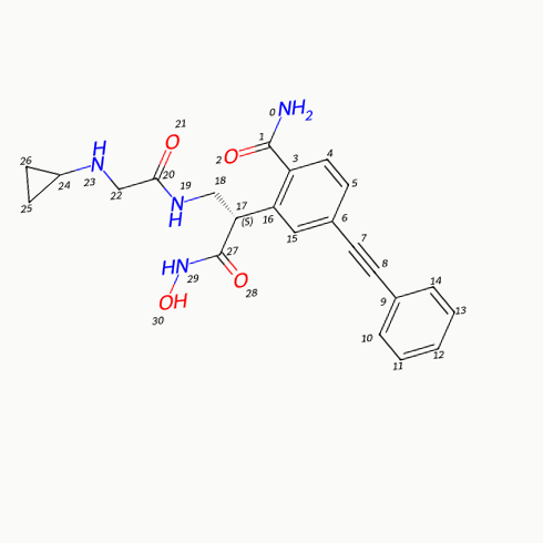 NC(=O)c1ccc(C#Cc2ccccc2)cc1[C@@H](CNC(=O)CNC1CC1)C(=O)NO